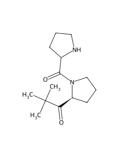 CC(C)(C)C(=O)[C@@H]1CCCN1C(=O)C1CCCN1